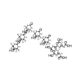 CC1(C)CC(=O)CC(C)(C)N1O.CC1(C)CC(=O)CC(C)(C)N1O.CC1(C)CC(=O)CC(C)(C)N1O.CC1(C)CC(=O)CC(C)(C)N1O.CC1(C)CC(=O)CC(C)(C)N1O.O=C(O)CN(CCN(CC(=O)O)CC(=O)O)CCN(CC(=O)O)CC(=O)O